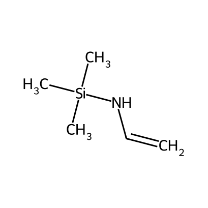 C=CN[Si](C)(C)C